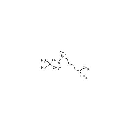 CC(C)CCSC[C@H](C)C(=O)OC(C)(C)C